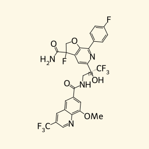 COc1cc(C(=O)NC[C@](O)(c2cc3c(c(-c4ccc(F)cc4)n2)OCC3(F)C(N)=O)C(F)(F)F)cc2cc(C(F)(F)F)cnc12